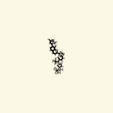 Cc1cc(-c2ccc3ccc(-c4nnc5ccc([C@@H](N6CC[C@H](NC(=O)O)C6)C(F)(F)F)cn45)nc3c2C)n(C)n1